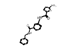 O=C(NCc1ccccc1)c1cccc(NC(=O)c2ccc([N+](=O)[O-])o2)c1